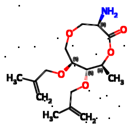 C=C(C)CO[C@H]1[C@H](C)OC(=O)[C@H](N)COC[C@@H]1OCC(=C)C